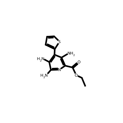 CCOC(=O)c1nc(N)c(N)c(-c2cccs2)c1N